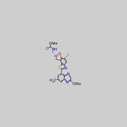 COC(=O)NC[C@H]1Cc2c(c(F)cc3nc(-c4cc(C)cc5nc(OC)cnc45)sc23)O1